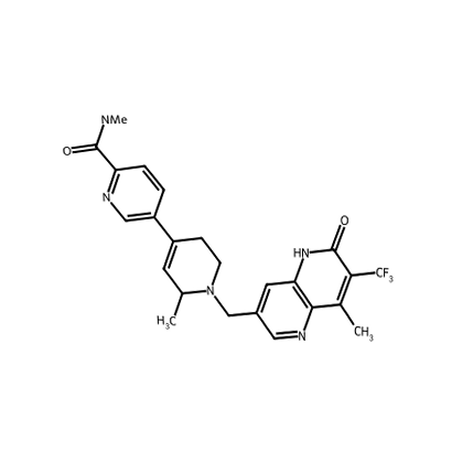 CNC(=O)c1ccc(C2=CC(C)N(Cc3cnc4c(C)c(C(F)(F)F)c(=O)[nH]c4c3)CC2)cn1